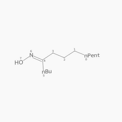 CCCCCCCC/C(CCCC)=N/O